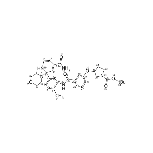 Cc1ccc(C2(N3CCOCC3)C=C(C(N)=O)C=CN2)cc1NC(=O)c1cccc(OC2CCN(C(=O)OC(C)(C)C)C2)c1